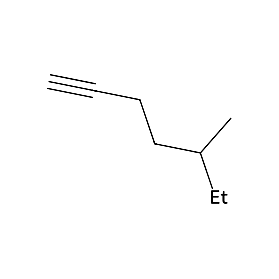 C#CCCC(C)CC